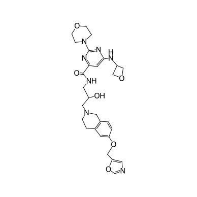 O=C(NCC(O)CN1CCc2cc(OCc3cnco3)ccc2C1)c1cc(NC2COC2)nc(N2CCOCC2)n1